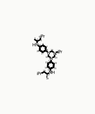 CC(C)CC(C)Nc1ccc(N2CN(c3ccc(N[C@@H](C)CC(C)C)cc3)CN(C(C)C)C2)cc1